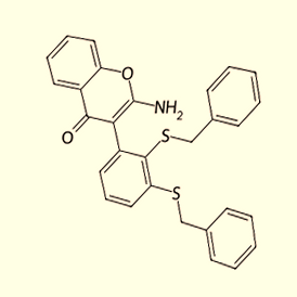 Nc1oc2ccccc2c(=O)c1-c1cccc(SCc2ccccc2)c1SCc1ccccc1